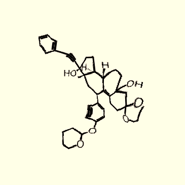 C[C@]12C[C@H](c3ccc(OC4CCCCO4)cc3)C3=C4CCC5(CC4(O)CC[C@H]3[C@@H]1CC[C@@]2(O)C#Cc1ccccc1)OCCO5